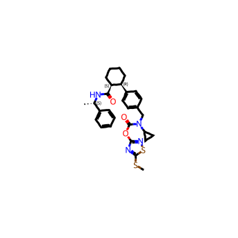 CSc1nc(OC(=O)N(Cc2ccc([C@@H]3CCCC[C@@H]3C(=O)N[C@@H](C)c3ccccc3)cc2)C2CC2)ns1